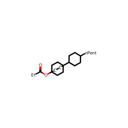 CCCCCC1CCC(C23CCC(OC(=O)CC)(CC2)CC3)CC1